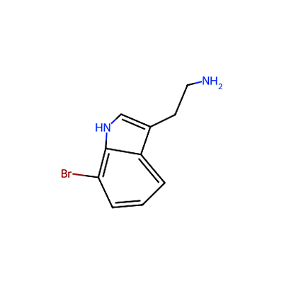 NCCc1c[nH]c2c(Br)cccc12